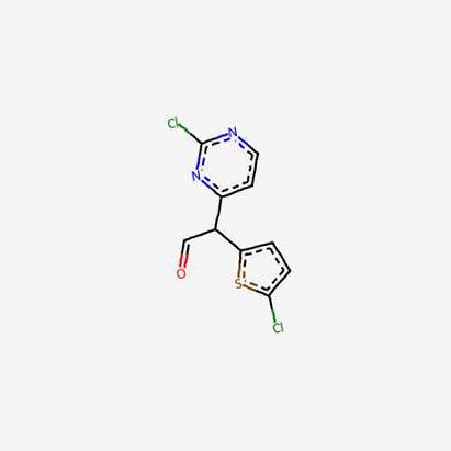 O=CC(c1ccnc(Cl)n1)c1ccc(Cl)s1